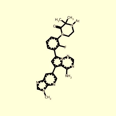 CC(=O)N1CCN(c2cccc(-c3cc(-c4cnc5c(c4)ncn5C)c4c(N)ncnn34)c2F)C(=O)C1(C)C